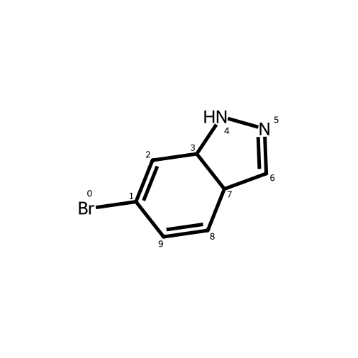 BrC1=CC2NN=CC2C=C1